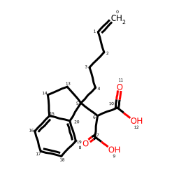 C=CCCCC1(C(C(=O)O)C(=O)O)CCc2ccccc21